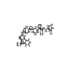 CCn1c2ccccc2c2cc(CN3CCC(Oc4cccc(C(=O)NCCC5CCCN5C)c4)CC3)ccc21